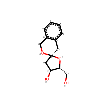 OC[C@H]1O[C@@]2(Cc3ccccc3CO2)C[C@@H]1O